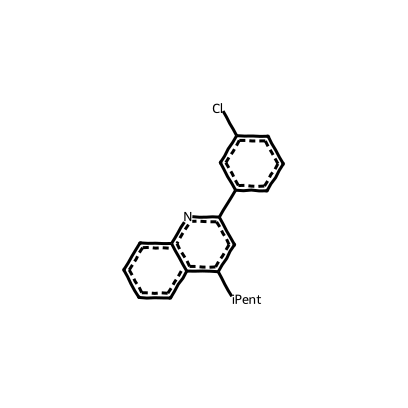 CCCC(C)c1cc(-c2cccc(Cl)c2)nc2ccccc12